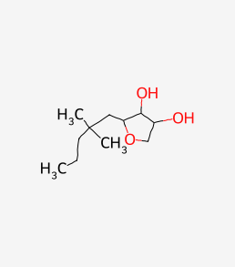 CCCC(C)(C)CC1OCC(O)C1O